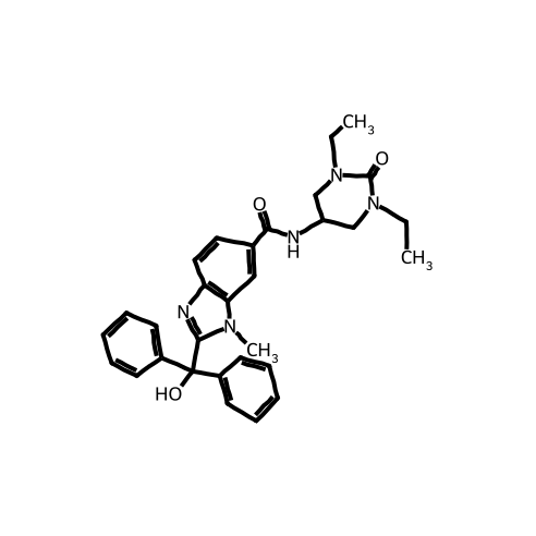 CCN1CC(NC(=O)c2ccc3nc(C(O)(c4ccccc4)c4ccccc4)n(C)c3c2)CN(CC)C1=O